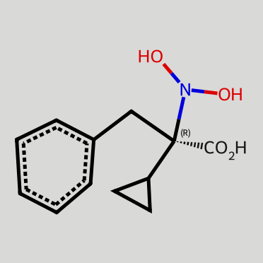 O=C(O)[C@@](Cc1ccccc1)(C1CC1)N(O)O